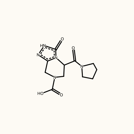 O=C(O)N1Cc2n[nH]c(=O)n2C(C(=O)N2CCCC2)C1